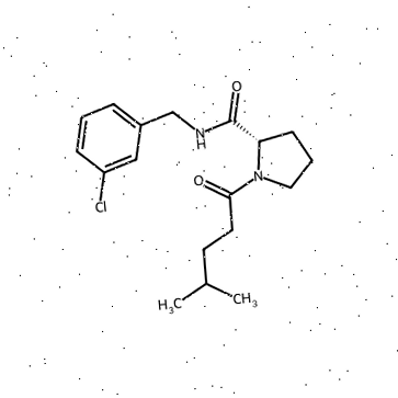 CC(C)CCC(=O)N1CCC[C@H]1C(=O)NCc1cccc(Cl)c1